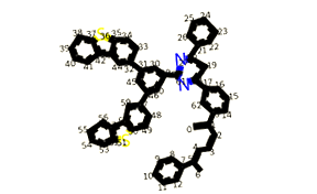 C=C(/C=C\C=C(/C)c1ccccc1)c1cccc(-c2cc(-c3ccccc3)nc(-c3cc(-c4ccc5sc6ccccc6c5c4)cc(-c4ccc5sc6ccccc6c5c4)c3)n2)c1